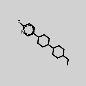 CCC1CCC(C2CCC(c3ccc(F)nc3)CC2)CC1